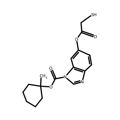 CC1(OC(=O)n2cnc3ccc(OC(=O)CS)cc32)CCCCC1